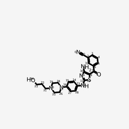 N#Cc1cccc(C(=O)c2sc(Nc3ccc(N4CCN(CCCO)CC4)cc3)nc2N)c1